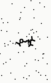 CC(C)OCCN(C(C)C)C(C)C